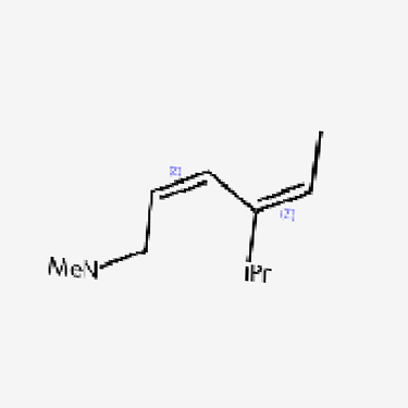 C/C=C(\C=C/CNC)C(C)C